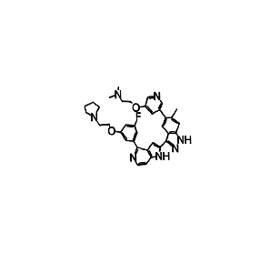 Cc1cc2[nH]nc(-c3cc4c(-c5cc(F)cc(OCCN6CCCC6)c5)nccc4[nH]3)c2cc1-c1cncc(OCCN(C)C)c1